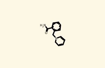 NC(=O)c1ccccc1CN1C=CC=CC1